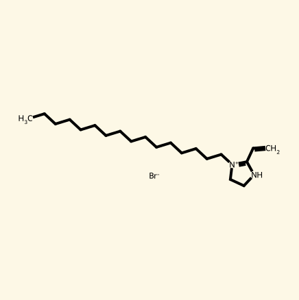 C=CC1=[N+](CCCCCCCCCCCCCCCC)CCN1.[Br-]